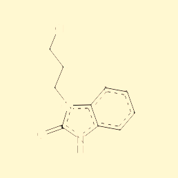 CCCCn1c(=O)[nH]c2ccc[c]c21